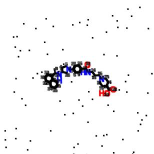 C[C@@H](N[C@H]1CCN(c2ccc(C(=O)NCCCN3CCC(C(=O)O)CC3)cc2)C1)c1cccc2ccccc12